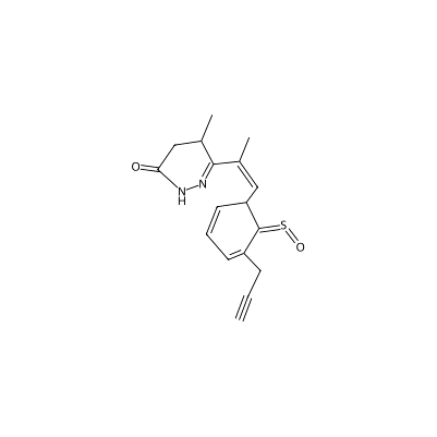 C#CCC1=CC=CC(C=C(C)C2=NNC(=O)CC2C)C1=S=O